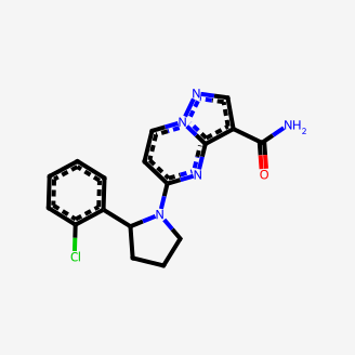 NC(=O)c1cnn2ccc(N3CCCC3c3ccccc3Cl)nc12